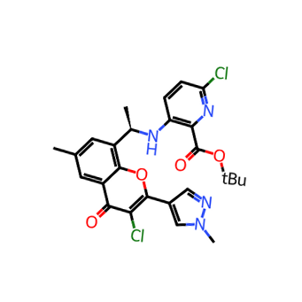 Cc1cc([C@@H](C)Nc2ccc(Cl)nc2C(=O)OC(C)(C)C)c2oc(-c3cnn(C)c3)c(Cl)c(=O)c2c1